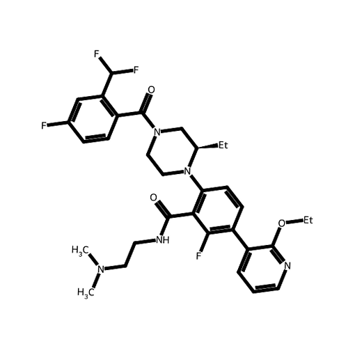 CCOc1ncccc1-c1ccc(N2CCN(C(=O)c3ccc(F)cc3C(F)F)C[C@H]2CC)c(C(=O)NCCN(C)C)c1F